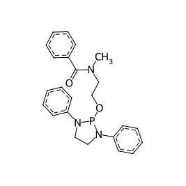 CN(CCOP1N(c2ccccc2)CCN1c1ccccc1)C(=O)c1ccccc1